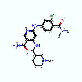 CC(=O)N1CCCC(CNc2cc(Nc3ccc(C(=O)N(C)C)c(Cl)c3)ncc2C(N)=O)C1